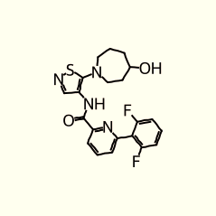 O=C(Nc1cnsc1N1CCCC(O)CC1)c1cccc(-c2c(F)cccc2F)n1